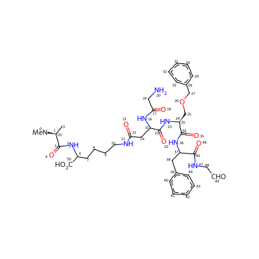 CN[C@@H](C)C(=O)NC(CCCCNC(=O)CC(NC(=O)CN)C(=O)N[C@@H](COCc1ccccc1)C(=O)NC(Cc1ccccc1)C(=O)NCC=O)C(=O)O